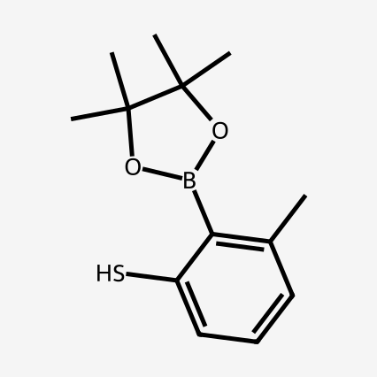 Cc1cccc(S)c1B1OC(C)(C)C(C)(C)O1